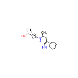 CC(Cc1c[nH]c2ccccc12)NC12CC([C@@H](C)O)(C1)C2